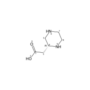 O=C(O)C[C@@H]1CNCCN1